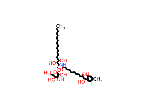 CCCCCCCCCCCCCC[C@@H](O)[C@@H](O)[C@H](CO[C@H]1OC(CO)[C@H](O)[C@H](O)C1O)NC(=O)CCCCCCCC[C@@H](O)[C@H](O)c1ccc(C)c(F)c1